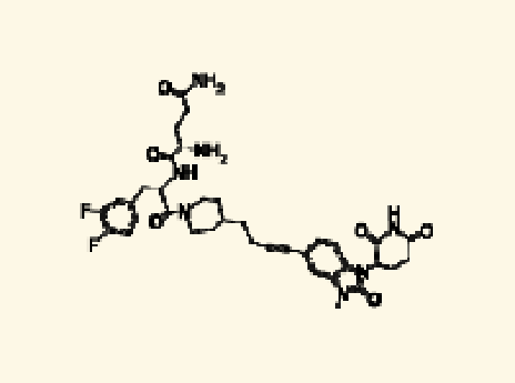 Cn1c(=O)n(C2CCC(=O)NC2=O)c2ccc(C#CCCC3CCN(C(=O)[C@H](Cc4ccc(F)c(F)c4)NC(=O)[C@@H](N)CCC(N)=O)CC3)cc21